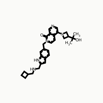 CC(C)(O)C1CN(c2cncc3c(=O)n(Cc4ccc5cc(CNCC6CCC6)[nH]c5c4)ccc23)C1